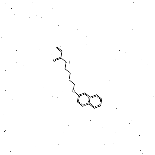 C=CC(=O)NCCCCOc1ccc2ccccc2c1